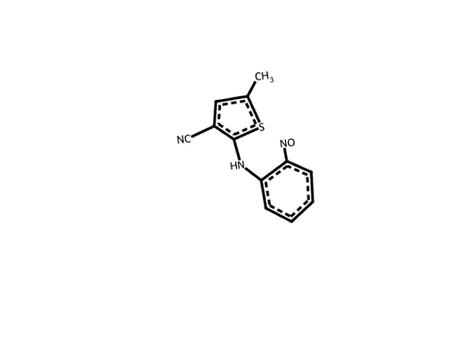 Cc1cc(C#N)c(Nc2ccccc2N=O)s1